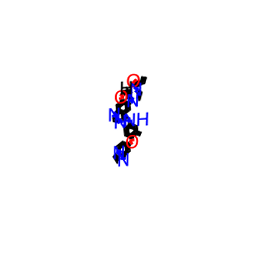 C=CC(=O)N1CCN2C[C@@H]1COc1cc3ncnc(Nc4ccc(Oc5ccn6ccnc6c5)c(C)c4)c3cc12